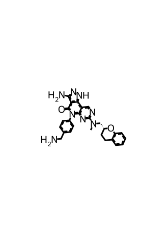 CN(C[C@H]1CCc2ccccc2O1)c1ncc2c3[nH]nc(N)c3c(=O)n(-c3ccc(CN)cc3)c2n1